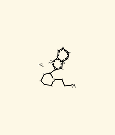 CCCN1CCCCC1c1cc2ccccc2[nH]1.Cl